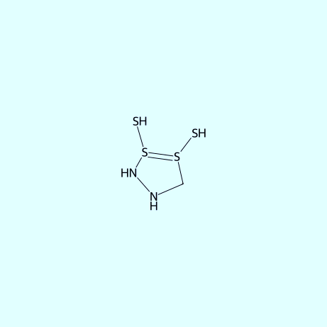 SS1=S(S)NNC1